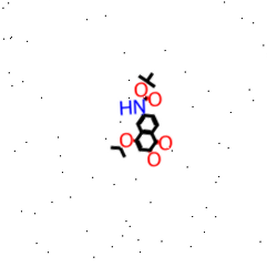 CC(C)OC1=CC(=O)C(=O)c2ccc(NC(=O)OC(C)(C)C)cc21